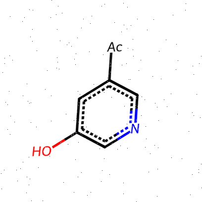 CC(=O)c1cncc(O)c1